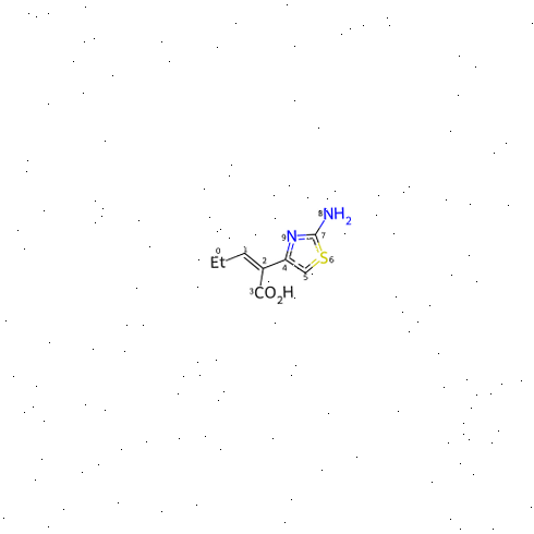 CC/C=C(\C(=O)O)c1csc(N)n1